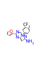 NC1=N[N+]2(c3cccc(C(F)(F)F)c3)C=NC(c3ccco3)=NC2=C1